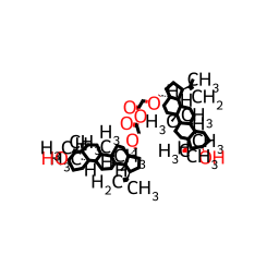 C=C(C)[C@@H]1CC[C@]2(COCC(=O)OC(=O)COC[C@]34CC[C@@H](C(=C)C)[C@@H]3[C@H]3CC[C@@H]5[C@@]6(C)CC[C@H](O)C(C)(C)[C@@H]6CC[C@@]5(C)[C@]3(C)CC4)CC[C@]3(C)[C@H](CC[C@@H]4[C@@]5(C)CC[C@H](O)C(C)(C)[C@@H]5CC[C@]43C)[C@@H]12